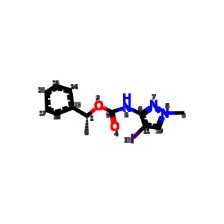 C[C@@H](OC(=O)Nc1nn(C)cc1I)c1ccccc1